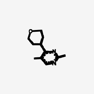 Cc1ncc(C)c(C2CCOCC2)n1